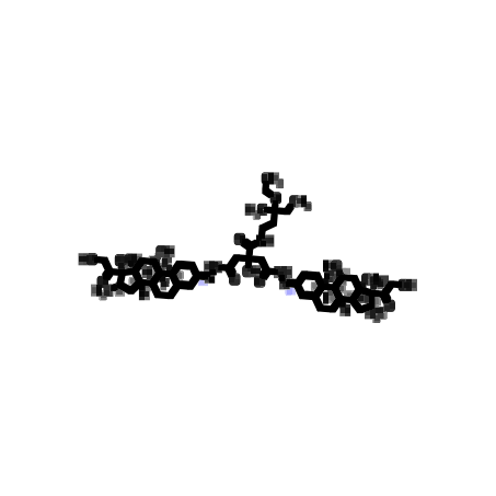 CCOC(C)(CC)CCNC(=O)C(O)(CC(=O)N/N=C1\C=C[C@@]2(C)C(=C1)CC[C@H]1[C@@H]3C[C@@H](C)[C@](O)(C(=O)CO)[C@@]3(C)C[C@H](O)[C@@]12F)CC(=O)N/N=C1\C=C[C@@]2(C)C(=C1)CC[C@H]1[C@@H]3C[C@@H](C)[C@](O)(C(=O)CO)[C@@]3(C)C[C@H](O)[C@@]12F